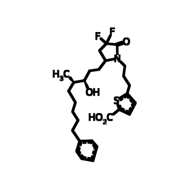 C[C@H](CCCCCc1ccccc1)[C@H](O)CCC1CC(F)(F)C(=O)N1CCCc1ccc(C(=O)O)s1